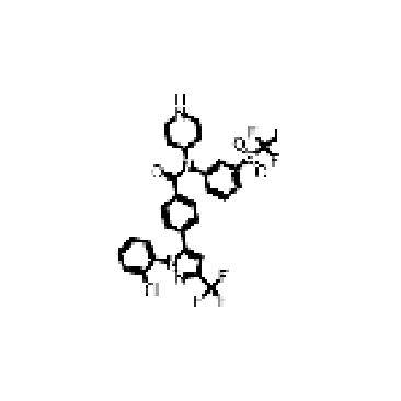 O=C(c1ccc(-c2cc(C(F)(F)F)nn2-c2ccccc2Cl)cc1)N(c1cccc(S(=O)(=O)C(F)(F)F)c1)C1CCNCC1